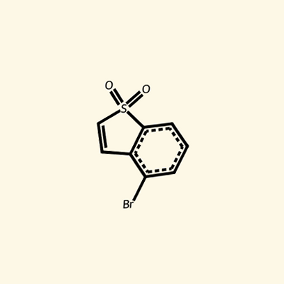 O=S1(=O)C=Cc2c(Br)cccc21